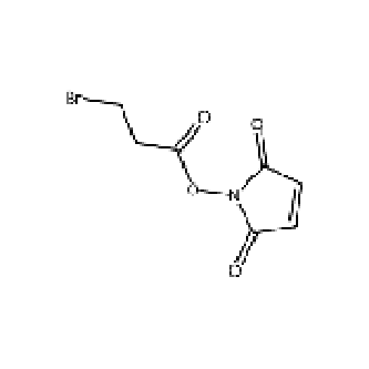 O=C(CCBr)ON1C(=O)C=CC1=O